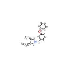 O=C(O)C1CN(Cc2cccc(Oc3ccccc3)c2)CC1C(F)(F)F